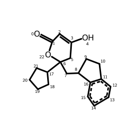 O=C1C=C(O)CC(CC2CCc3ccccc32)(C2CCCC2)O1